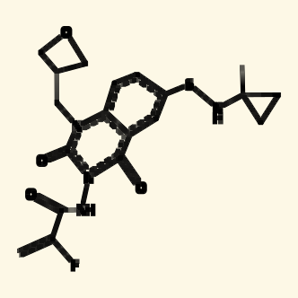 C=C(F)C(=O)Nn1c(=O)c2cc(SNC3(C)CC3)ccc2n(CC2COC2)c1=O